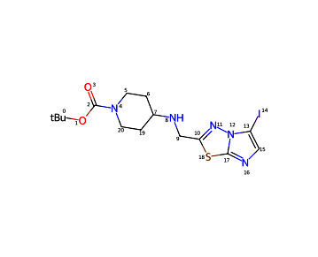 CC(C)(C)OC(=O)N1CCC(NCc2nn3c(I)cnc3s2)CC1